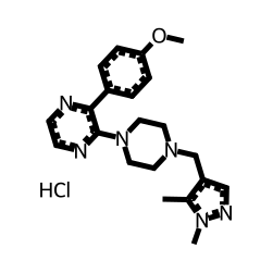 COc1ccc(-c2nccnc2N2CCN(Cc3cnn(C)c3C)CC2)cc1.Cl